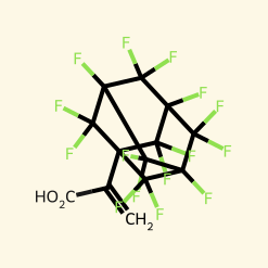 C=C(C(=O)O)C12C(F)(F)C3(F)C(F)(F)C(F)(C(F)(F)C(F)(C3(F)F)C1(F)F)C2(F)F